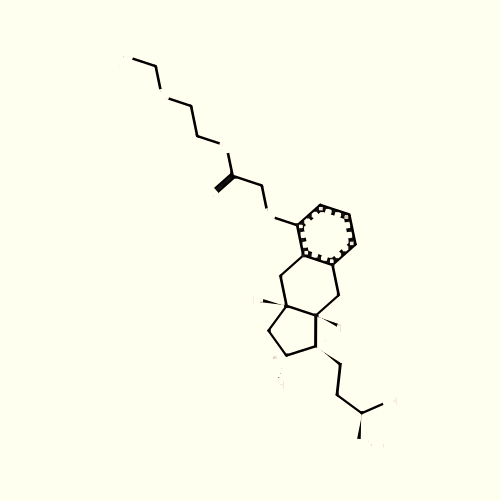 CCCCC[C@H](O)CC[C@@H]1[C@H]2Cc3cccc(OCC(=O)OCCOCC(=O)O)c3C[C@H]2C[C@H]1O